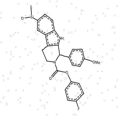 COc1ccc(C2c3[nH]c4ccc([S+](C)[O-])cc4c3CCN2C(=O)Oc2ccc(F)cc2)cc1